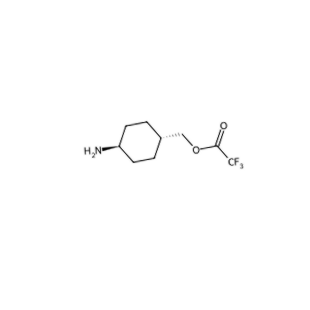 N[C@H]1CC[C@H](COC(=O)C(F)(F)F)CC1